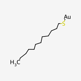 CCCCCCCCCCCC[S][Au]